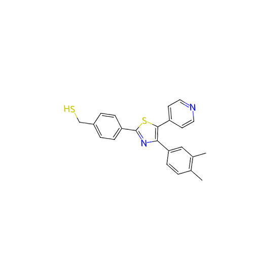 Cc1ccc(-c2nc(-c3ccc(CS)cc3)sc2-c2ccncc2)cc1C